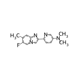 Cc1cc2nc(-c3ccc(N(C)C)cn3)cn2cc1F